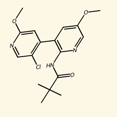 COc1cnc(NC(=O)C(C)(C)C)c(-c2cc(OC)ncc2Cl)c1